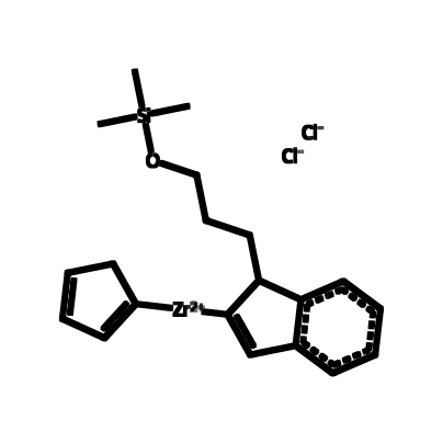 C[Si](C)(C)OCCCC1[C]([Zr+2][C]2=CC=CC2)=Cc2ccccc21.[Cl-].[Cl-]